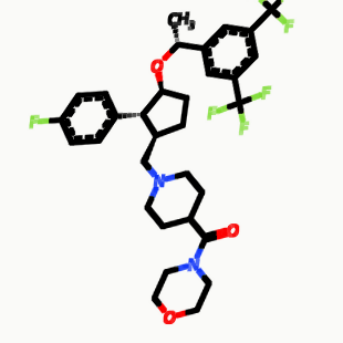 C[C@@H](O[C@H]1CC[C@@H](CN2CCC(C(=O)N3CCOCC3)CC2)[C@@H]1c1ccc(F)cc1)c1cc(C(F)(F)F)cc(C(F)(F)F)c1